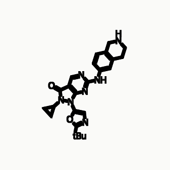 CC(C)(C)c1ncc(-n2c3nc(Nc4ccc5c(c4)CCNC5)ncc3c(=O)n2C2CC2)o1